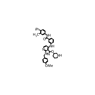 COc1ccc(Cn2nc(OC3CCCNC3)c3c(Nc4cccc(C(=O)Nc5ccc(C(C)C)c(C)c5)c4)ccnc32)cc1